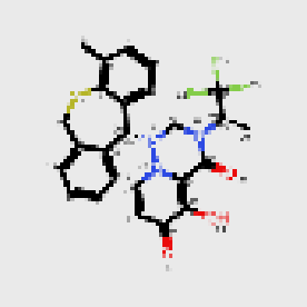 Cc1cccc2c1SCc1ccccc1[C@H]2N1CN([C@H](C)C(F)(F)F)C(=O)c2c(O)c(=O)ccn21